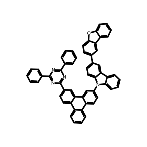 c1ccc(-c2nc(-c3ccccc3)nc(-c3ccc4c5ccccc5c5ccc(-n6c7ccccc7c7cc(-c8ccc9oc%10ccccc%10c9c8)ccc76)cc5c4c3)n2)cc1